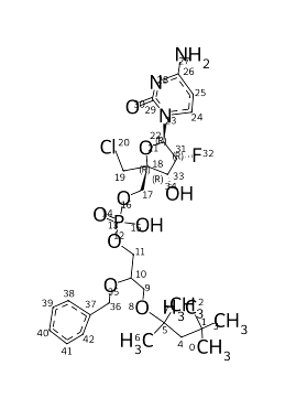 CC(C)(C)CC(C)(C)OCC(COP(=O)(O)OC[C@@]1(CCl)O[C@@H](n2ccc(N)nc2=O)[C@H](F)[C@@H]1O)OCc1ccccc1